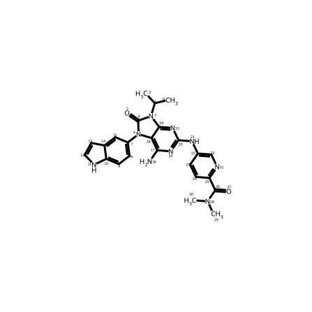 CC(C)n1c(=O)n(-c2ccc3[nH]ccc3c2)c2c(N)nc(Nc3ccc(C(=O)N(C)C)nc3)nc21